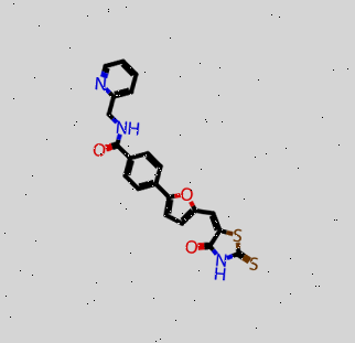 O=C1NC(=S)SC1=Cc1ccc(-c2ccc(C(=O)NCc3ccccn3)cc2)o1